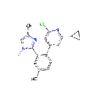 Cn1cc(C#N)nc1-c1cc(C#N)ccc1-c1cc(Cl)nc(C2CC2)c1